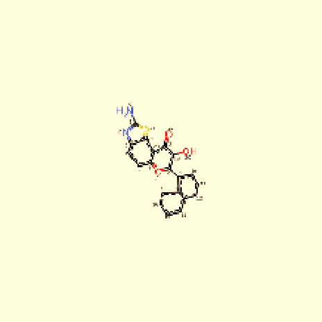 Nc1nc2ccc3oc(-c4cccc5ccccc45)c(O)c(=O)c3c2s1